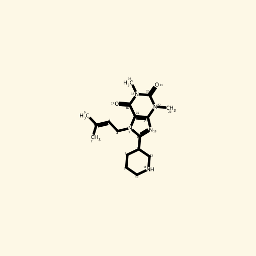 CC(C)=CCn1c(C2CCCNC2)nc2c1c(=O)n(C)c(=O)n2C